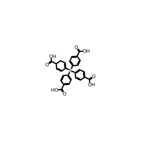 O=C(O)c1ccc([Si](C2=CCC(C(=O)O)C=C2)(c2ccc(C(=O)O)cc2)c2ccc(C(=O)O)cc2)cc1